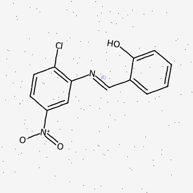 O=[N+]([O-])c1ccc(Cl)c(/N=C/c2ccccc2O)c1